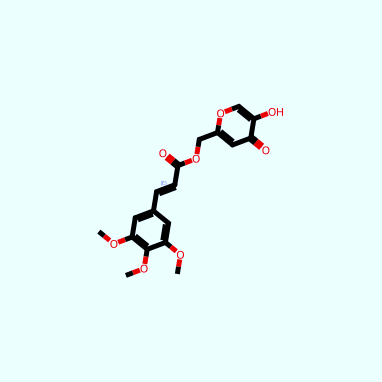 COc1cc(/C=C/C(=O)OCc2cc(=O)c(O)co2)cc(OC)c1OC